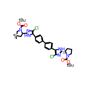 CC(C)(C)OC(=O)N1C[Si](C)(C)CC1c1nc(Cl)c(-c2ccc(-c3ccc(-c4[nH]c([C@@H]5CCCN5C(=O)OC(C)(C)C)nc4Cl)cc3)cc2)[nH]1